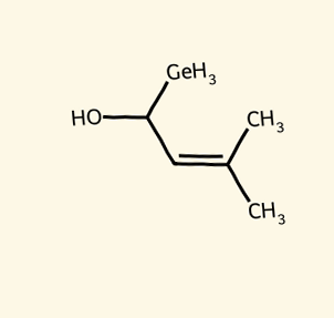 CC(C)=C[CH](O)[GeH3]